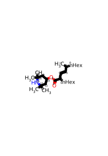 CCCCCCC(C)C=CC(CCCCCC)C(=O)OC1CC(C)(C)NC(C)(C)C1